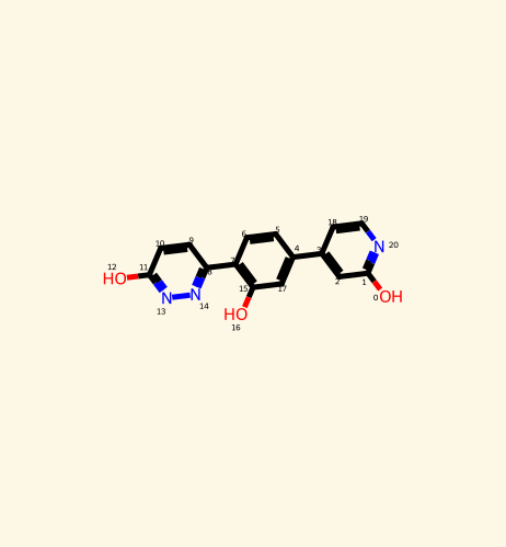 Oc1cc(-c2ccc(-c3ccc(O)nn3)c(O)c2)ccn1